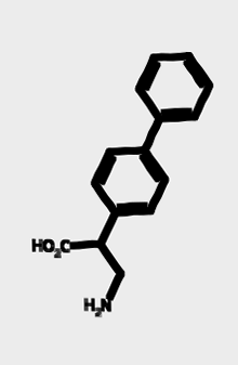 NCC(C(=O)O)c1ccc(-c2ccccc2)cc1